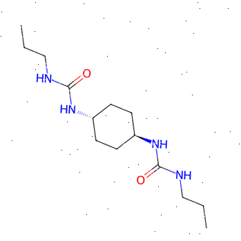 CCCNC(=O)N[C@H]1CC[C@H](NC(=O)NCCC)CC1